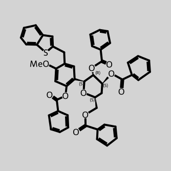 COc1cc(OC(=O)c2ccccc2)c([C@@H]2O[C@H](COC(=O)c3ccccc3)C[C@H](OC(=O)c3ccccc3)[C@H]2OC(=O)c2ccccc2)cc1Cc1cc2ccccc2s1